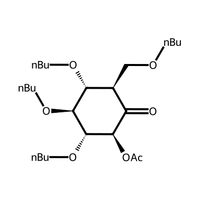 CCCCOC[C@H]1C(=O)[C@@H](OC(C)=O)[C@H](OCCCC)[C@@H](OCCCC)[C@@H]1OCCCC